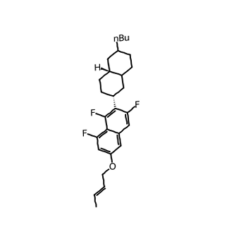 C/C=C/COc1cc(F)c2c(F)c([C@@H]3CC[C@@H]4CC(CCCC)CCC4C3)c(F)cc2c1